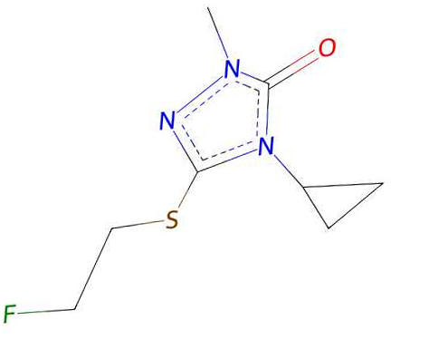 Cn1nc(SCCF)n(C2CC2)c1=O